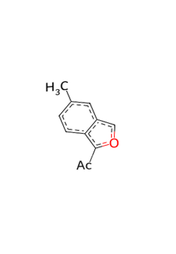 CC(=O)c1occ2cc(C)ccc12